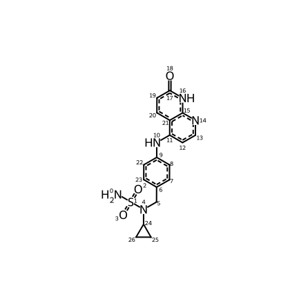 NS(=O)(=O)N(Cc1ccc(Nc2ccnc3[nH]c(=O)ccc23)cc1)C1CC1